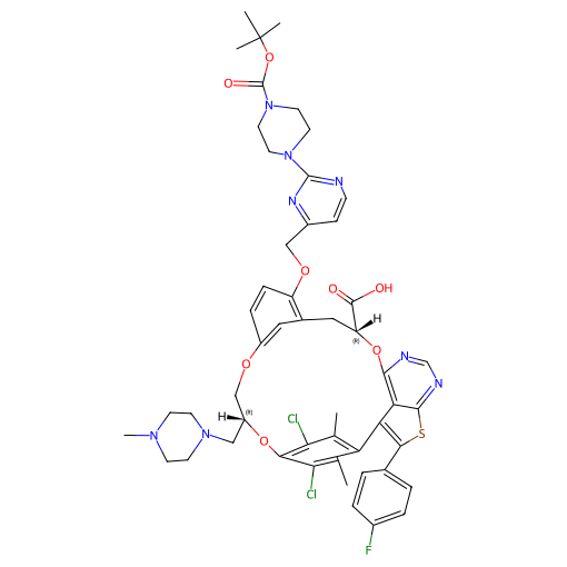 Cc1c(Cl)c2c(Cl)c(C)c1-c1c(-c3ccc(F)cc3)sc3ncnc(c13)O[C@@H](C(=O)O)Cc1cc(ccc1OCc1ccnc(N3CCN(C(=O)OC(C)(C)C)CC3)n1)OC[C@@H](CN1CCN(C)CC1)O2